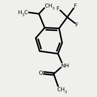 CC(=O)Nc1ccc(C(C)C)c(C(F)(F)F)c1